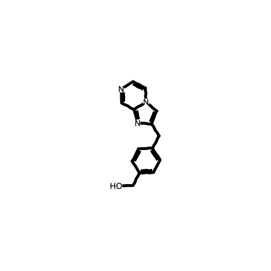 OCc1ccc(Cc2cn3ccncc3n2)cc1